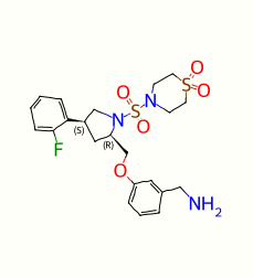 NCc1cccc(OC[C@H]2C[C@@H](c3ccccc3F)CN2S(=O)(=O)N2CCS(=O)(=O)CC2)c1